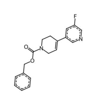 O=C(OCc1ccccc1)N1CC=C(c2cncc(F)c2)CC1